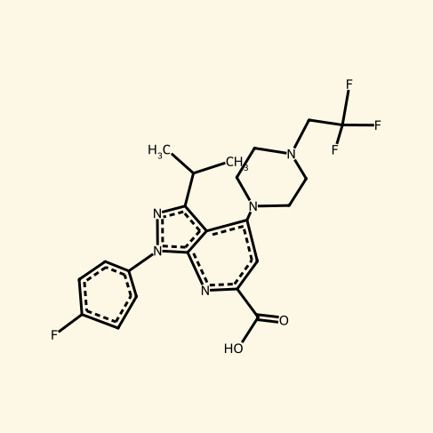 CC(C)c1nn(-c2ccc(F)cc2)c2nc(C(=O)O)cc(N3CCN(CC(F)(F)F)CC3)c12